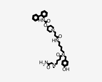 CN(CCCC(=O)N(CCCCCNC(=O)CCN1CCC(OC(=O)Nc2ccccc2-c2ccccc2)CC1)Cc1ccc(O)cc1)CC(N)=O